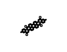 Cc1ccc2c(c1)c(=O)cc1c3ccc4c5ccc6c(=O)n7c8ccc(C)cc8c(=O)cc7c7ccc(c8ccc(c(=O)n21)c3c84)c5c67